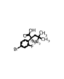 CC(C)(C)C[C@](N)(C(=O)O)c1ccc(Br)cc1F